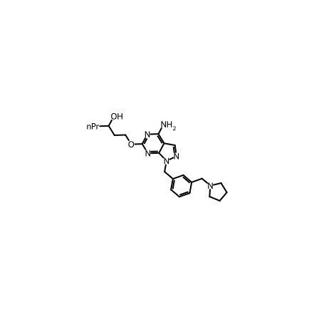 CCCC(O)CCOc1nc(N)c2cnn(Cc3cccc(CN4CCCC4)c3)c2n1